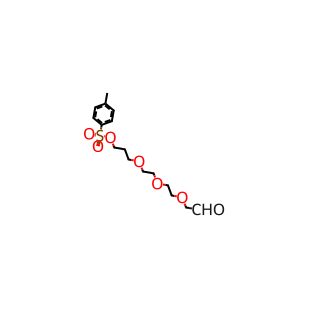 Cc1ccc(S(=O)(=O)OCCCOCCOCCOCC=O)cc1